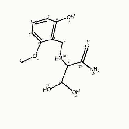 COc1cccc(O)c1CNC(C(N)=O)C(O)O